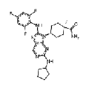 C[C@]1(C(N)=O)CC[C@@H](n2c(Nc3c(F)cc(F)cc3F)nc3cnc(NC4CCCC4)nc32)CC1